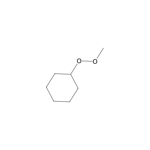 COOC1CCCCC1